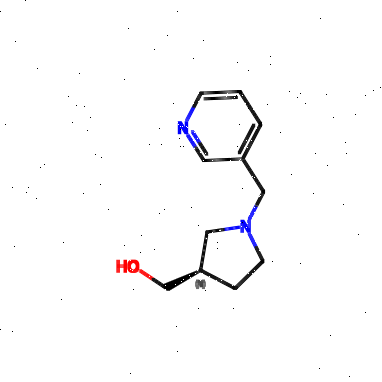 OC[C@@H]1CCN(Cc2cccnc2)C1